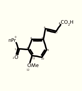 CCCC(=O)c1cc(C=CC(=O)O)ccc1OC